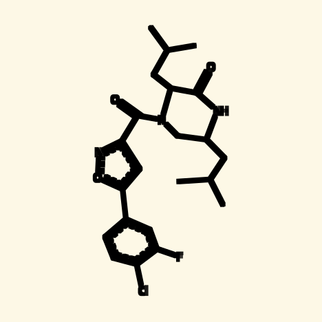 CC(C)CC1CN(C(=O)c2cc(-c3ccc(Cl)c(F)c3)on2)C(CC(C)C)C(=O)N1